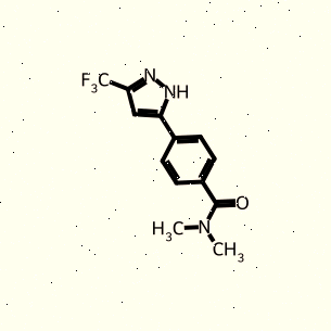 CN(C)C(=O)c1ccc(-c2cc(C(F)(F)F)n[nH]2)cc1